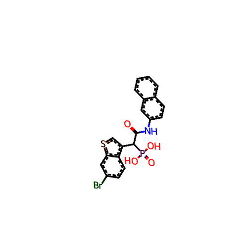 O=C(Nc1ccc2ccccc2c1)C(c1csc2cc(Br)ccc12)P(=O)(O)O